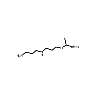 CCCCCCC(C)OCCCNCCCN